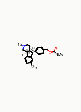 CCN1CC[C@H]2[C@H](c3ccc(COC(O)NC)cc3)c3cc(C)ccc3[C@H]2C1